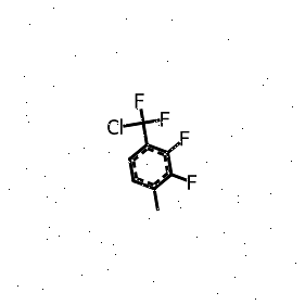 Cc1ccc(C(F)(F)Cl)c(F)c1F